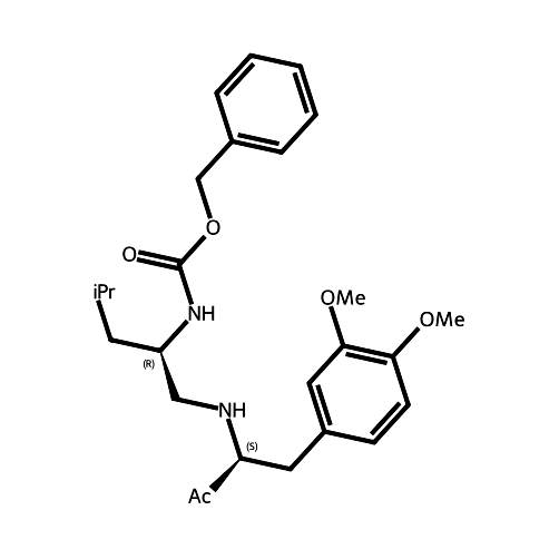 COc1ccc(C[C@H](NC[C@@H](CC(C)C)NC(=O)OCc2ccccc2)C(C)=O)cc1OC